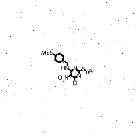 CCCSc1nc(Cl)c([N+](=O)[O-])c(NCc2ccc(SC)cc2)n1